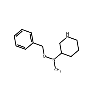 CN(OCc1ccccc1)C1CCCNC1